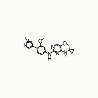 COc1cc(Nc2ncc3c(n2)N(C)C2(CC2)CO3)ccc1-c1cnn(C)c1